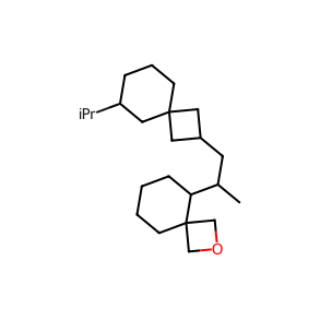 CC(C)C1CCCC2(CC(CC(C)C3CCCCC34COC4)C2)C1